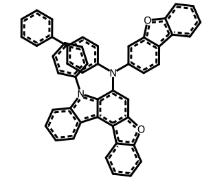 c1ccc(-c2ccc(N(c3ccc4c(c3)oc3ccccc34)c3cc4oc5ccccc5c4c4c5ccccc5n(-c5ccccc5)c34)cc2)cc1